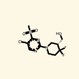 CS(=O)(=O)c1nc(N2CCC(F)(F)[C@@H](CO)C2)ncc1Cl